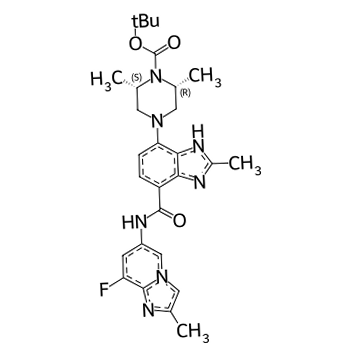 Cc1cn2cc(NC(=O)c3ccc(N4C[C@@H](C)N(C(=O)OC(C)(C)C)[C@@H](C)C4)c4[nH]c(C)nc34)cc(F)c2n1